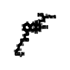 CCCCC[C@H](O)CC[C@@H]1[C@H]2Cc3cccc(OCC(=O)OCCCCC(=O)O)c3C[C@H]2C[C@H]1O